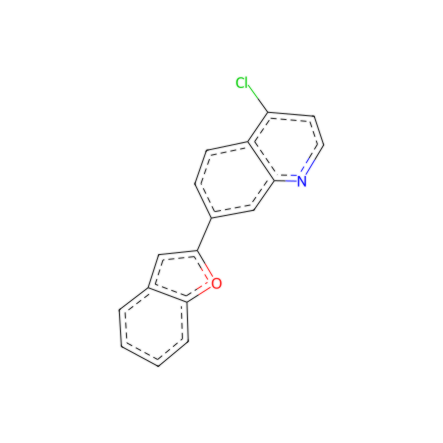 Clc1ccnc2cc(-c3cc4ccccc4o3)ccc12